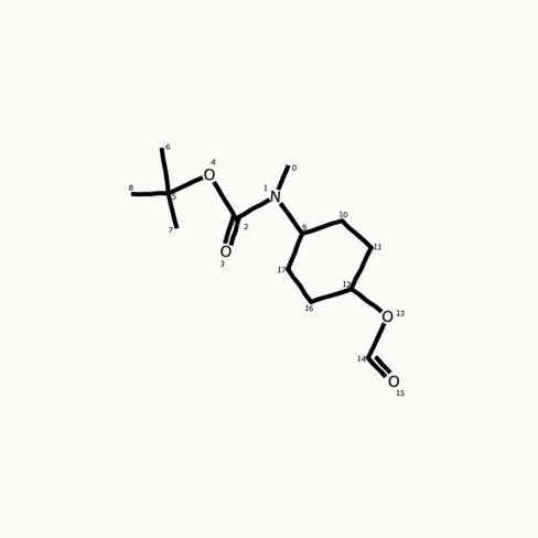 CN(C(=O)OC(C)(C)C)C1CCC(OC=O)CC1